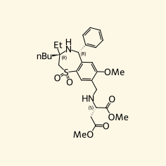 CCCC[C@]1(CC)CS(=O)(=O)c2cc(CN[C@@H](CC(=O)OC)C(=O)OC)c(OC)cc2[C@@H](c2ccccc2)N1